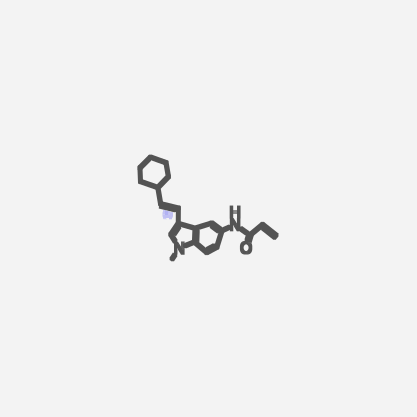 C=CC(=O)Nc1ccc2c(c1)c(/C=C/C1CCCCC1)cn2C